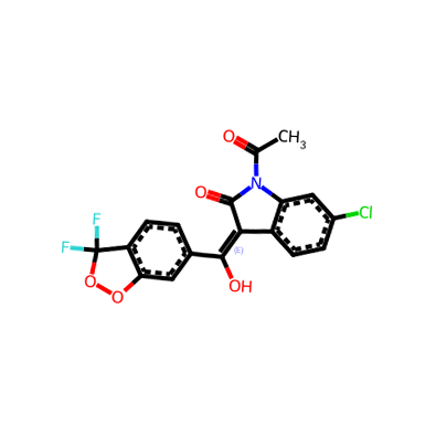 CC(=O)N1C(=O)/C(=C(/O)c2ccc3c(c2)OOC3(F)F)c2ccc(Cl)cc21